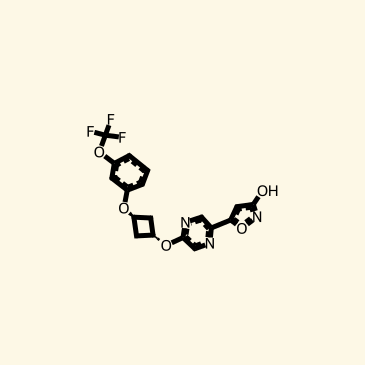 Oc1cc(-c2cnc(O[C@H]3C[C@H](Oc4cccc(OC(F)(F)F)c4)C3)cn2)on1